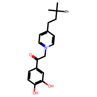 CC(C)C(C)(C)CCc1cc[n+](CC(=O)c2ccc(O)c(O)c2)cc1